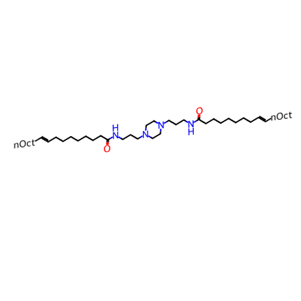 CCCCCCCCC=CCCCCCCCC(=O)NCCCN1CCN(CCCNC(=O)CCCCCCCC=CCCCCCCCC)CC1